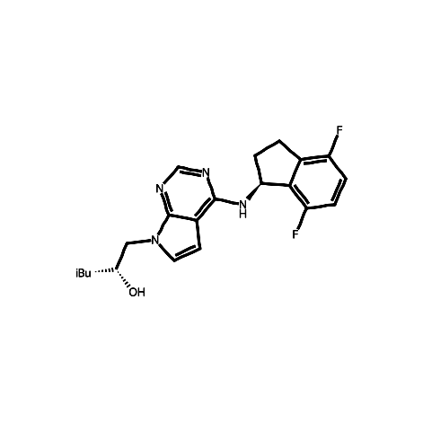 CC[C@@H](C)[C@@H](O)Cn1ccc2c(N[C@H]3CCc4c(F)ccc(F)c43)ncnc21